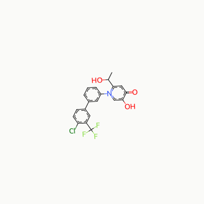 CC(O)c1cc(=O)c(O)cn1-c1cccc(-c2ccc(Cl)c(C(F)(F)F)c2)c1